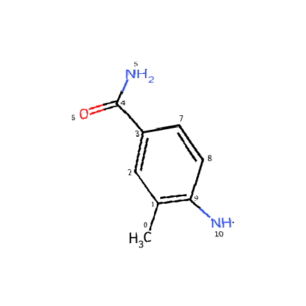 Cc1cc(C(N)=O)ccc1[NH]